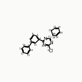 Clc1nc(-c2cccc(-c3ccccc3)c2)nc([C@H]2C=CC=CC2)n1